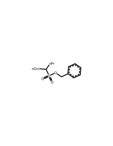 CCCCCCCCC(CCC)S(=O)(=O)OCc1ccccc1